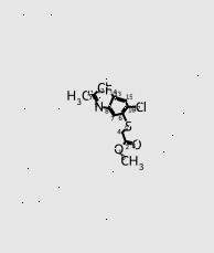 COC(=O)CSc1cc(N=C(C)Cl)c(F)cc1Cl